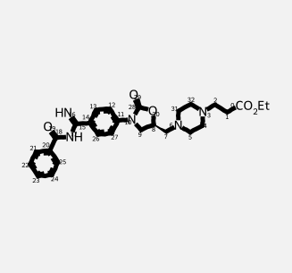 CCOC(=O)CCN1CCN(C[C@H]2CN(c3ccc(C(=N)NC(=O)c4ccccc4)cc3)C(=O)O2)CC1